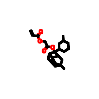 C=CC(=O)OCC(=O)OC1(C2CCCC(C)C2)C2CC3CC1CC(C)(C3)C2